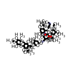 C/C=C\C#C[C@H](O[C@@H]1O[C@H](C)C(/C=N/O[C@H]2C[C@H](O)[C@H](SC(=O)c3c(C)c(I)c(O[C@@H]4O[C@@H](C)[C@H](O)[C@@H](OC)[C@H]4O)c(OC)c3OC)[C@@H](C)O2)[C@H](O)[C@H]1O[C@H]1C[C@H](OC)[C@@H](NCC)CO1)C1=C(NC(=O)OC)C(=O)C[C@](N)(O)/C1=C/CSSC(C)(C)C